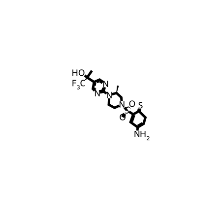 C[C@H]1CN(S(=O)(=O)C2=CC(N)=CCC2=S)CCN1c1ncc([C@](C)(O)C(F)(F)F)cn1